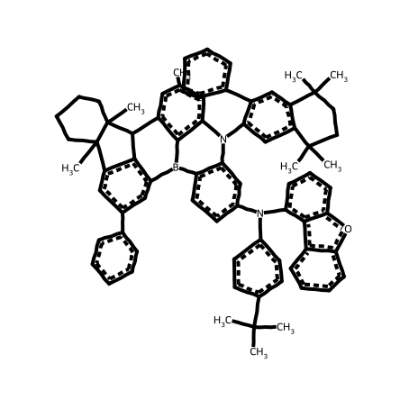 Cc1cc2c3c(c1)N(c1cc4c(cc1-c1ccccc1)C(C)(C)CCC4(C)C)c1cc(N(c4ccc(C(C)(C)C)cc4)c4cccc5oc6ccccc6c45)ccc1B3c1cc(-c3ccccc3)cc3c1C2C1(C)CCCCC31C